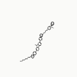 CCCCCCCCCOc1ccc(-c2ccc3c(c2)C(C)c2cc(-c4ccc(OCCCCCCOCC5(CC)COC5)cc4)ccc2-3)cc1